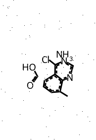 Cc1cccc2c(Cl)ncnc12.N.O=CO